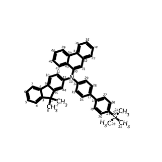 CC1(C)c2ccccc2-c2ccc(N(c3ccc(-c4ccc([Si](C)(C)C)cc4)cc3)c3cc4ccccc4c4ccccc34)cc21